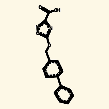 O=C(O)c1noc(OCc2ccc(-c3ccccc3)cc2)n1